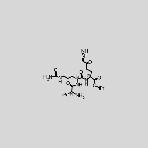 CC(C)OC(=O)[C@H](CCC(=O)C=[N+]=N)NC(=O)[C@H](CCCNC(N)=O)NC(=O)[C@@H](N)C(C)C